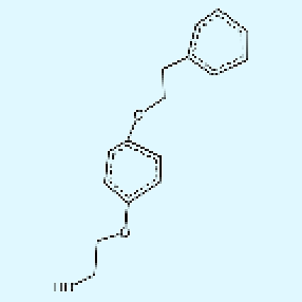 OCCOc1ccc(OCCc2ccccc2)cc1